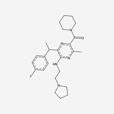 Cc1nc(NCCN2CCCC2)c(C(C)c2ccc(F)cc2)nc1C(=O)N1CCCCC1